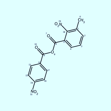 Cc1cccc(C(=O)OC(=O)c2ccc([N+](=O)[O-])cc2)c1[N+](=O)[O-]